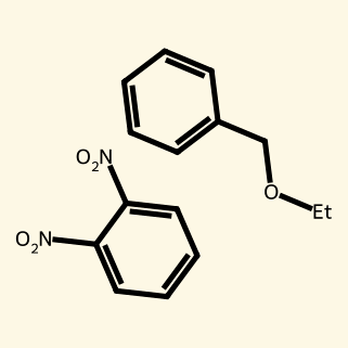 CCOCc1ccccc1.O=[N+]([O-])c1ccccc1[N+](=O)[O-]